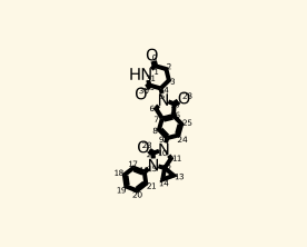 O=C1CCC(N2Cc3cc(N4CC5(CC5)N(c5ccccc5)C4=O)ccc3C2=O)C(=O)N1